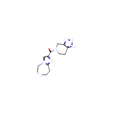 O=C(c1cn2c(n1)CCNCC2)N1CCc2[nH]nnc2C1